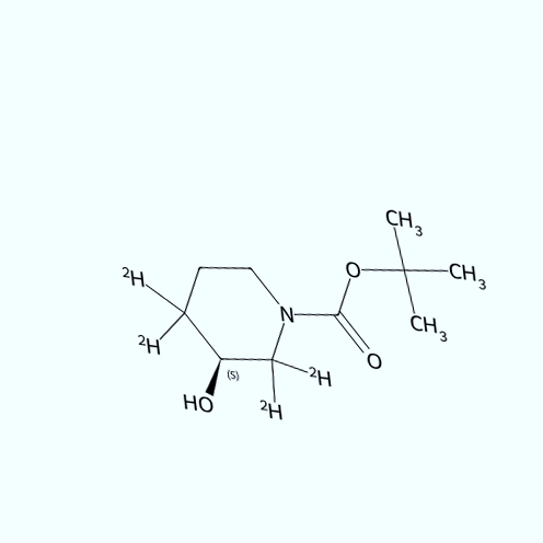 [2H]C1([2H])CCN(C(=O)OC(C)(C)C)C([2H])([2H])[C@H]1O